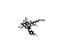 CC(=O)NCCCC[C@H](N)C(=O)N(Cc1cnn(Cc2ccc(C(F)(F)F)nc2)c1)c1nc(C)c2c(n1)N(C)[C@@H](C)C(=O)N2